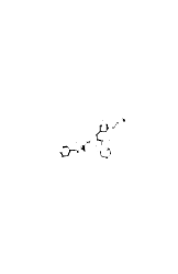 COCCn1ncc2cc(NC(=O)c3coc(-c4ccnc(C)c4)n3)c(N3CCC(O)CC3)nc21